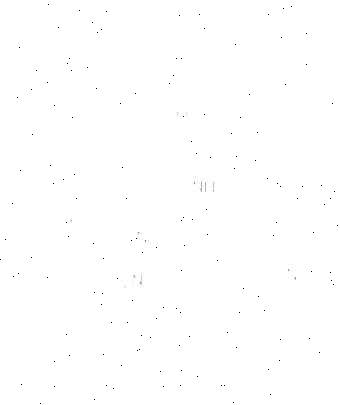 N#Cc1cnn2c1[nH]c(=O)c1ccccc12